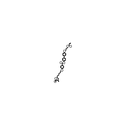 C=CC(=O)OCCCOc1ccc(-c2ccc(OC(=O)c3ccc(OCCCCCC4CC(=C)C(=O)O4)cc3)cc2)cc1